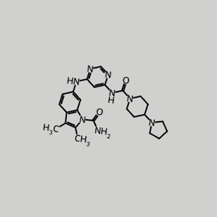 Cc1c(C)n(C(N)=O)c2cc(Nc3cc(NC(=O)N4CCC(N5CCCC5)CC4)ncn3)ccc12